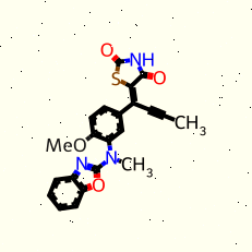 CC#CC(=C1SC(=O)NC1=O)c1ccc(OC)c(N(C)c2nc3ccccc3o2)c1